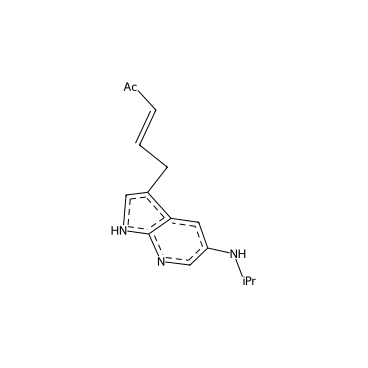 CC(=O)C=CCc1c[nH]c2ncc(NC(C)C)cc12